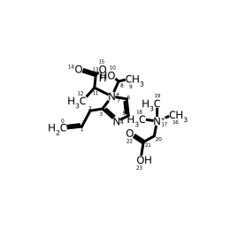 C=CCC1=NC=C[N+]1(C(C)O)C(C)C(=O)O.C[N+](C)(C)CC(=O)O